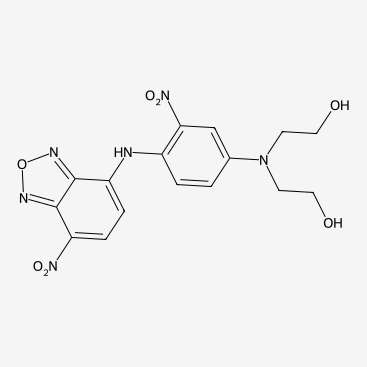 O=[N+]([O-])c1cc(N(CCO)CCO)ccc1Nc1ccc([N+](=O)[O-])c2nonc12